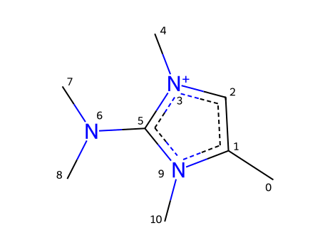 Cc1c[n+](C)c(N(C)C)n1C